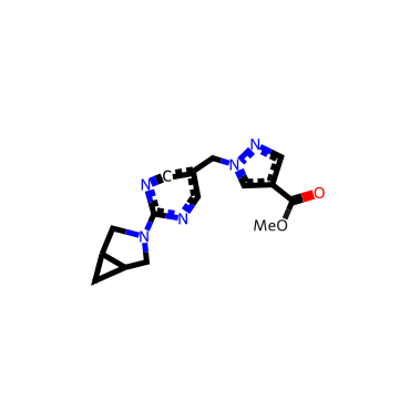 COC(=O)c1cnn(Cc2cnc(N3CC4CC4C3)nc2)c1